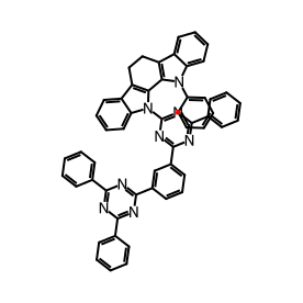 c1ccc(-c2nc(-c3ccccc3)nc(-c3cccc(-c4nc(-c5ccccc5)nc(-n5c6c(c7ccccc75)CCc5c-6n(-c6ccccc6)c6ccccc56)n4)c3)n2)cc1